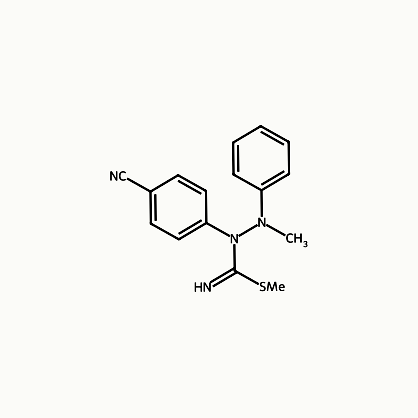 CSC(=N)N(c1ccc(C#N)cc1)N(C)c1ccccc1